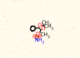 CC(OS(N)(=O)=O)C1OC(C)(C)OC1c1ccccc1